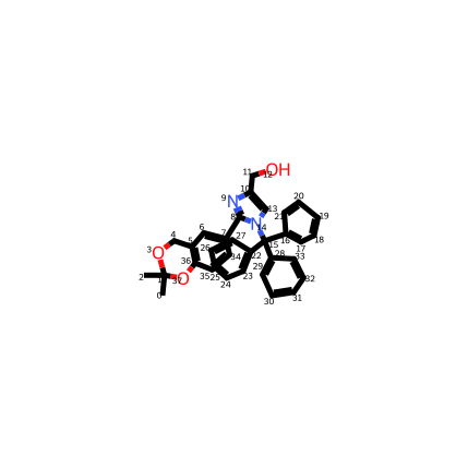 CC1(C)OCc2cc(-c3nc(CO)cn3C(c3ccccc3)(c3ccccc3)c3ccccc3)ccc2O1